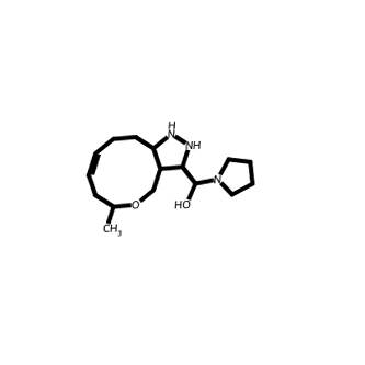 CC1C/C=C\CCC2NNC(C(O)N3CCCC3)C2CO1